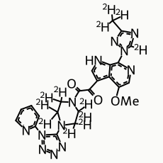 [2H]c1nc(C([2H])([2H])[2H])nn1-c1ncc(OC)c2c(C(=O)C(=O)N3C([2H])([2H])C([2H])([2H])N(c4nnnn4-c4ccccn4)C([2H])([2H])C3([2H])[2H])c[nH]c12